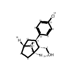 CN1[C@@H]2CC[C@@H]1[C@@H](CO)[C@H](c1ccc(Cl)cc1)C2